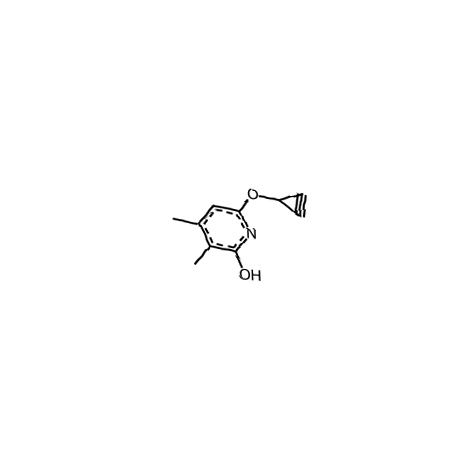 Cc1cc(OC2C#C2)nc(O)c1C